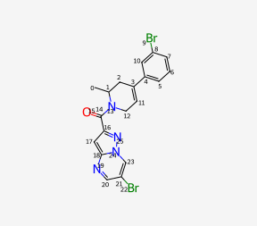 CC1CC(c2cccc(Br)c2)=CCN1C(=O)c1cc2ncc(Br)cn2n1